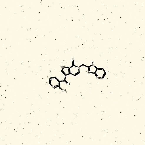 Cc1ncccc1C(=O)c1c[nH]c2c(=O)n(Cc3nc4ncccc4[nH]3)ccc12